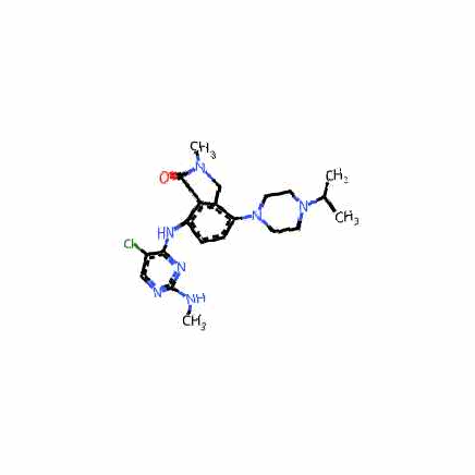 CNc1ncc(Cl)c(Nc2ccc(N3CCN(C(C)C)CC3)c3c2C(=O)N(C)C3)n1